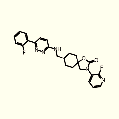 O=C1O[C@]2(CC[C@H](CNc3ccc(-c4ccccc4F)nn3)CC2)CN1c1cccnc1F